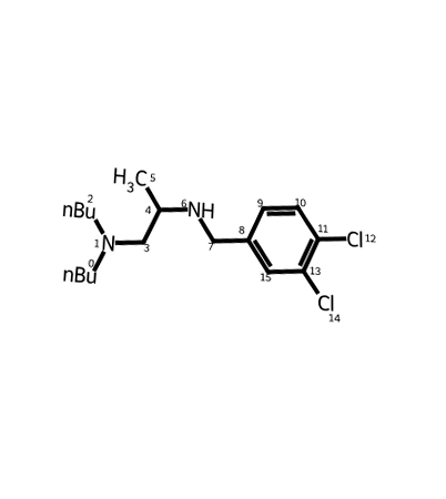 CCCCN(CCCC)CC(C)NCc1ccc(Cl)c(Cl)c1